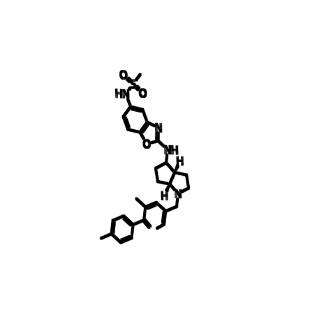 C=C(/C(C)=C\C(=C/C)CN1CC[C@H]2C(Nc3nc4cc(NS(C)(=O)=O)ccc4o3)CC[C@H]21)c1ccc(C)cc1